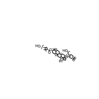 CC(C)[C@@H]1CC[C@]2(NC[C@H]([C@H](C)O)N3CCS(=O)(=O)CC3)CC[C@]3(C)[C@H](CC[C@@H]4[C@@]5(C)CC[C@H](OC(=O)[C@@H]6C[C@H](C(=O)O)C6(C)C)C(C)(C)[C@@H]5CC[C@]43C)[C@@H]12